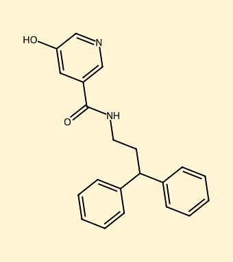 O=C(NCCC(c1ccccc1)c1ccccc1)c1cncc(O)c1